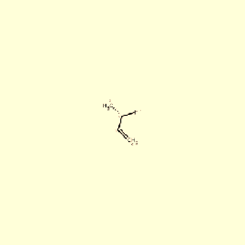 C=C[C@H](C)F